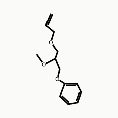 C=CCOCC(COc1ccccc1)OC